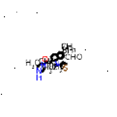 C=C(C(=O)N1CCNCC1(C)C)C1=C(N(C)c2ccsc2)c2cc(C=O)c(BC)cc2CC1